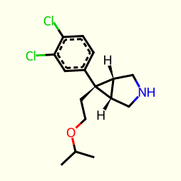 CC(C)OCC[C@@]1(c2ccc(Cl)c(Cl)c2)[C@@H]2CNC[C@@H]21